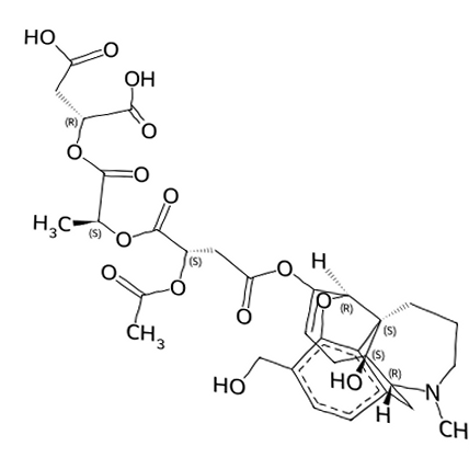 CC(=O)O[C@@H](CC(=O)OC1=CC[C@@]2(O)[C@H]3Cc4ccc(CO)c5c4[C@@]2(CCCN3C)[C@H]1O5)C(=O)O[C@@H](C)C(=O)O[C@H](CC(=O)O)C(=O)O